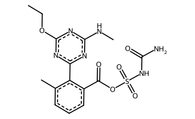 CCOc1nc(NC)nc(-c2c(C)cccc2C(=O)OS(=O)(=O)NC(N)=O)n1